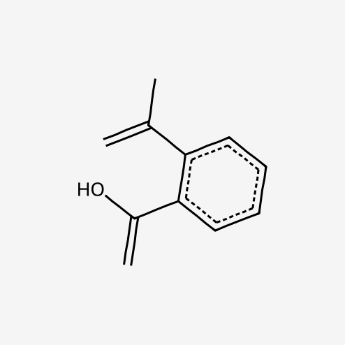 C=C(C)c1ccccc1C(=C)O